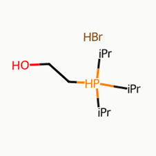 Br.CC(C)[PH](CCO)(C(C)C)C(C)C